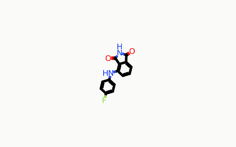 O=C1NC(=O)c2c(Nc3ccc(F)cc3)cccc21